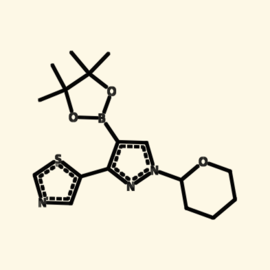 CC1(C)OB(c2cn(C3CCCCO3)nc2-c2cncs2)OC1(C)C